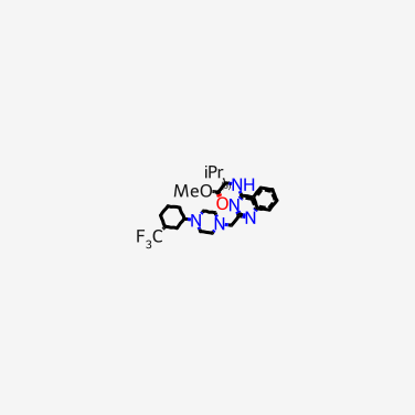 COC(=O)[C@@H](Nc1nc(CN2CCN(C3CCCC(C(F)(F)F)C3)CC2)nc2ccccc12)C(C)C